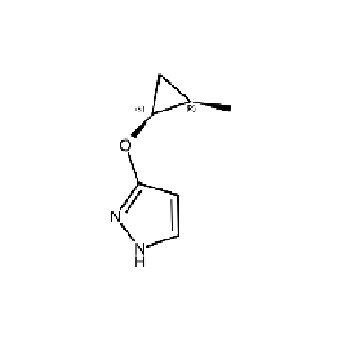 C[C@@H]1C[C@@H]1Oc1cc[nH]n1